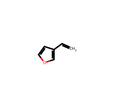 C=Cc1[c]coc1